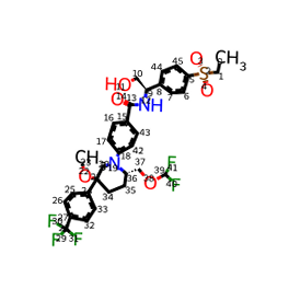 CCS(=O)(=O)c1ccc([C@H](CO)NC(=O)c2ccc(N3CC(OC)(c4ccc(C(F)(F)F)cc4)CC[C@H]3COC(F)F)cc2)cc1